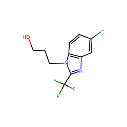 OCCCn1c(C(F)(F)F)nc2cc(F)ccc21